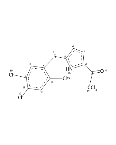 O=C(c1ccc(Sc2cc(Cl)c(Cl)cc2Cl)[nH]1)C(Cl)(Cl)Cl